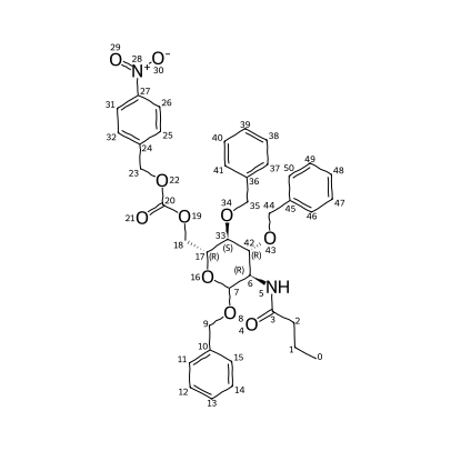 CCCC(=O)N[C@H]1C(OCc2ccccc2)O[C@H](COC(=O)OCc2ccc([N+](=O)[O-])cc2)[C@@H](OCc2ccccc2)[C@@H]1OCc1ccccc1